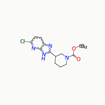 CC(C)(C)OC(=O)N1CCCC(c2nc3ccc(Cl)nc3[nH]2)C1